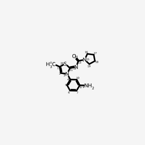 Cc1cn(-c2cccc(N)c2)c(=NC(=O)N2CCCC2)s1